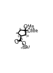 COC1(OC)CCC(C(=O)OC(C)(C)C)C1